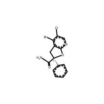 NC(=O)[C@@]1(c2ccccc2)Cc2c(ncc(Cl)c2Br)O1